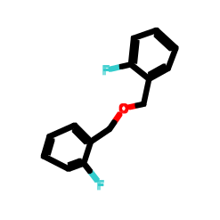 Fc1ccccc1COCc1ccccc1F